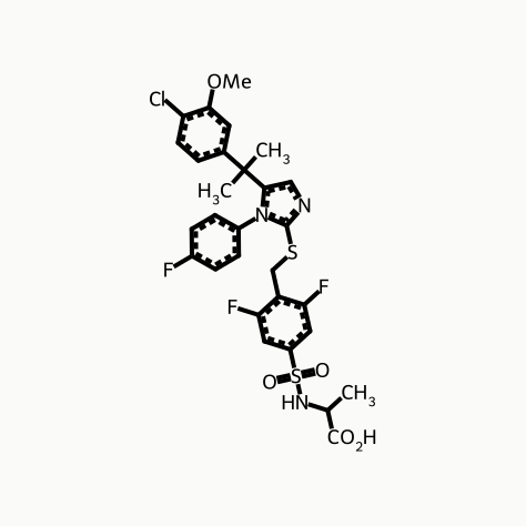 COc1cc(C(C)(C)c2cnc(SCc3c(F)cc(S(=O)(=O)NC(C)C(=O)O)cc3F)n2-c2ccc(F)cc2)ccc1Cl